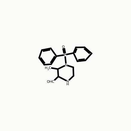 CC1C(C=O)NCCN1P(=O)(c1ccccc1)c1ccccc1